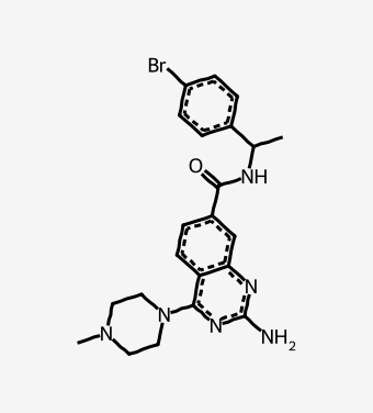 CC(NC(=O)c1ccc2c(N3CCN(C)CC3)nc(N)nc2c1)c1ccc(Br)cc1